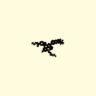 C=CC(=O)N1CCc2nc(-c3nc(-c4ccc5c(c4)CS(=O)(=NC(=O)C(F)(F)F)C5)c4ccsc4c3-c3ccc(F)cc3OCCOC)sc2C1